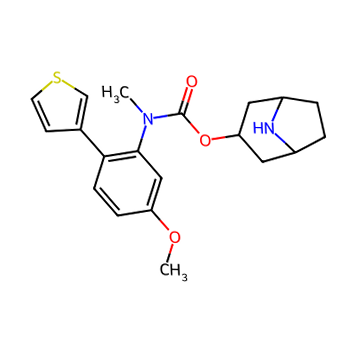 COc1ccc(-c2ccsc2)c(N(C)C(=O)OC2CC3CCC(C2)N3)c1